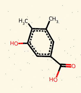 Cc1cc(C(=O)O)cc(O)c1C